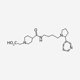 O=C(O)CN1CCC(C(=O)NCCCCN2CCCC2c2cccnc2)CC1